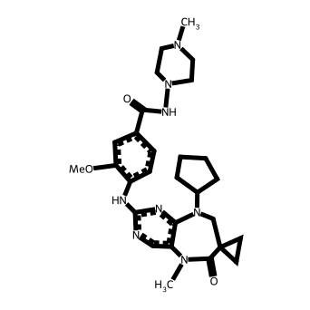 COc1cc(C(=O)NN2CCN(C)CC2)ccc1Nc1ncc2c(n1)N(C1CCCC1)CC1(CC1)C(=O)N2C